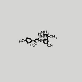 C=C(/C=C(/N)NN/C(=C/C(=C)c1ccc(C#N)cc1)NC)c1cccc(C#N)c1